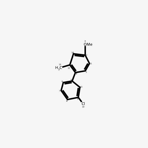 COc1ccc(-c2cccc(Cl)c2)c(C)c1